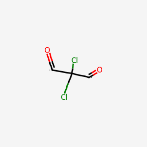 O=[C]C(Cl)(Cl)[C]=O